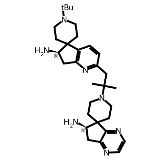 CC(C)(C)N1CCC2(CC1)c1ccc(CC(C)(C)N3CCC4(CC3)c3nccnc3C[C@H]4N)nc1C[C@H]2N